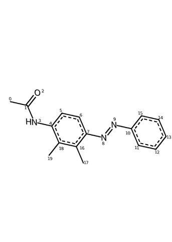 CC(=O)Nc1ccc(N=Nc2ccccc2)c(C)c1C